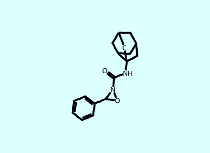 O=C(NC12CC3CC(CC1C3)C2)N1OC1c1ccccc1